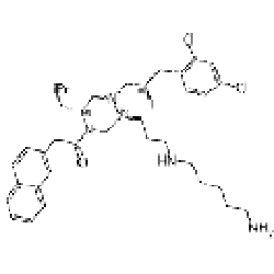 CC(C)C[C@@H]1CN(C[C@H](I)Cc2ccc(Cl)cc2Cl)[C@@H](CCCNCCCCCN)CN1C(=O)Cc1ccc2ccccc2c1